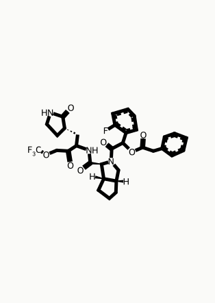 O=C(Cc1ccccc1)OC(C(=O)N1C[C@@H]2CCC[C@@H]2[C@H]1C(=O)NC(C[C@@H]1CCNC1=O)C(=O)COC(F)(F)F)c1ccccc1F